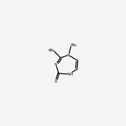 CC(C)(C)C1=NC(=O)NC=CN1C(C)(C)C